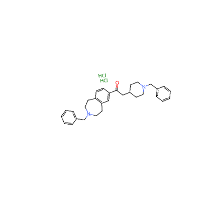 Cl.Cl.O=C(CC1CCN(Cc2ccccc2)CC1)c1ccc2c(c1)CCN(Cc1ccccc1)CC2